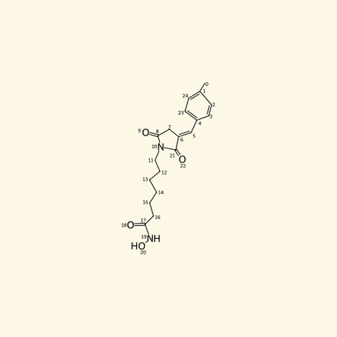 Cc1ccc(/C=C2\CC(=O)N(CCCCCCC(=O)NO)C2=O)cc1